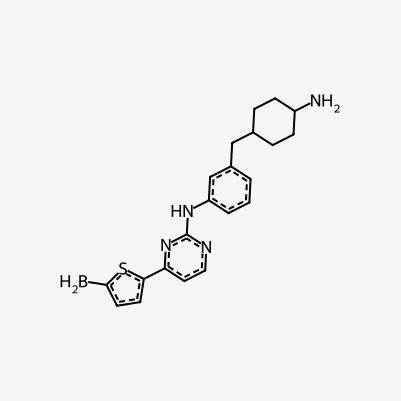 Bc1ccc(-c2ccnc(Nc3cccc(CC4CCC(N)CC4)c3)n2)s1